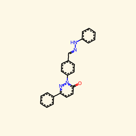 O=c1ccc(-c2ccccc2)nn1-c1ccc(/C=N/Nc2ccccc2)cc1